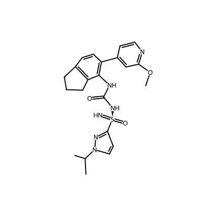 COc1cc(-c2ccc3c(c2NC(=O)N[S@@](=N)(=O)c2ccn(C(C)C)n2)CCC3)ccn1